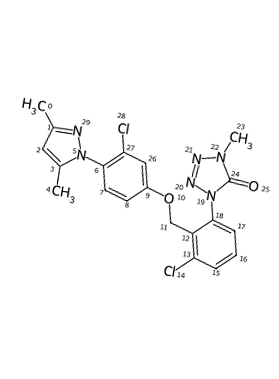 Cc1cc(C)n(-c2ccc(OCc3c(Cl)cccc3-n3nnn(C)c3=O)cc2Cl)n1